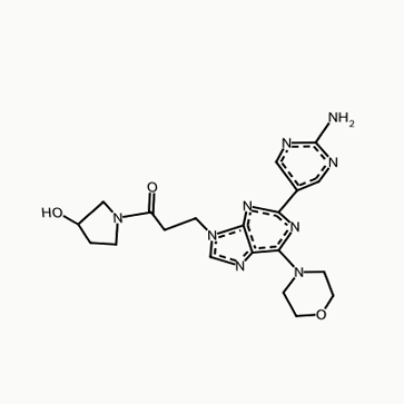 Nc1ncc(-c2nc(N3CCOCC3)c3ncn(CCC(=O)N4CCC(O)C4)c3n2)cn1